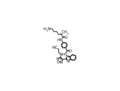 C[C@@H](CCCCN)C(=O)Nc1ccc(C(=O)Cn2c(-c3nonc3NCCC#N)nc3ccccc32)cc1